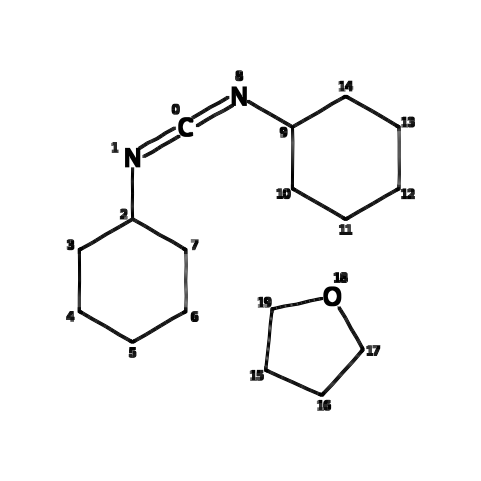 C(=NC1CCCCC1)=NC1CCCCC1.C1CCOC1